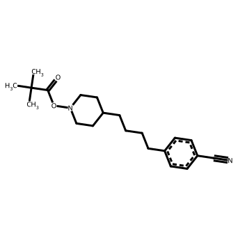 CC(C)(C)C(=O)ON1CCC(CCCCc2ccc(C#N)cc2)CC1